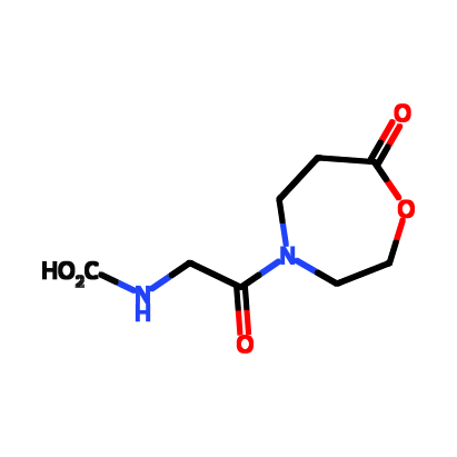 O=C(O)NCC(=O)N1CCOC(=O)CC1